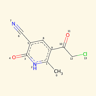 Cc1[nH]c(=O)c(C#N)cc1C(=O)CCl